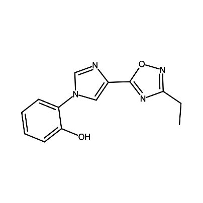 CCc1noc(-c2cn(-c3ccccc3O)cn2)n1